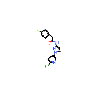 O=C(Cc1ccc(F)cc1)Nc1ccn(-c2ccc(Cl)nc2)n1